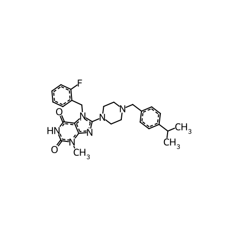 CC(C)c1ccc(CN2CCN(c3nc4c(c(=O)[nH]c(=O)n4C)n3Cc3ccccc3F)CC2)cc1